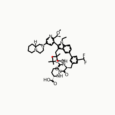 CCn1c(-c2cc(N3CCN4CCCC[C@@H]4C3)cnc2[C@H](C)OC)c(CC(C)(C)CO)c2cc(-c3cc(C[C@H](NC(=O)OC(C)(C)C)C(=O)N4CCC[C@@H](C(=O)O)N4)cc(C(F)F)c3)ccc21